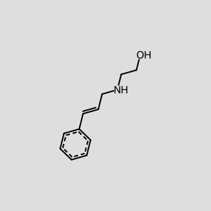 OCCNC/C=C/c1ccccc1